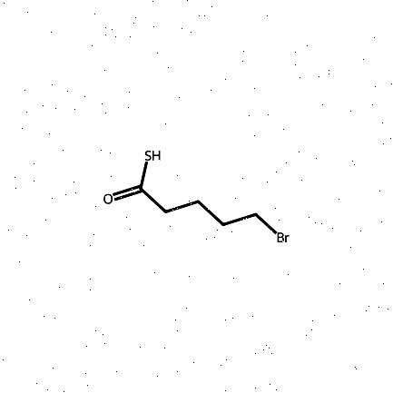 O=C(S)CCCCBr